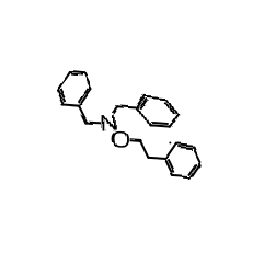 [c]1ccccc1CCON(Cc1ccccc1)Cc1ccccc1